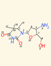 CC1N(C2CC(N)C(CO)O2)C(=O)NC(=O)C1(C)C